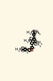 CC(C)c1c2ccc(-c3ccc4oc5ccc(-c6ccc(C(C)(C)C)cc6)cc5c4c3)cc2c(C(C)C)c2ccc(-c3ccc(C(C)(C)C)cc3)cc12